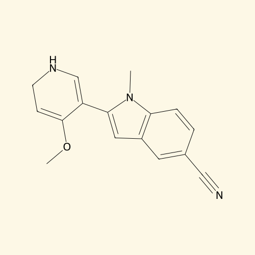 COC1=CCNC=C1c1cc2cc(C#N)ccc2n1C